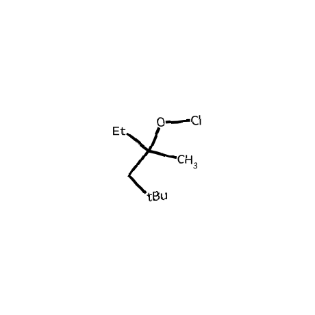 CCC(C)(CC(C)(C)C)OCl